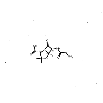 CC1(C)S[C@@H]2[C@H](NC(=O)CN)C(=O)N2[C@H]1C(=O)O